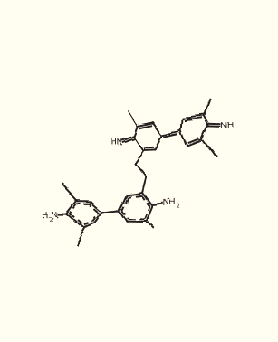 CC1=CC(=C2C=C(C)C(=N)C(CCc3cc(-c4cc(C)c(N)c(C)c4)cc(C)c3N)=C2)C=C(C)C1=N